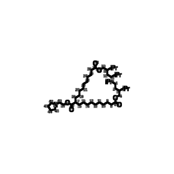 CC(C)CCC(COC(=O)CCCCCCCCCC(CCCCCCCCCC(=O)OCC(CCC(C)C)C(C)C)C(=O)OCCN1CCCC1)C(C)C